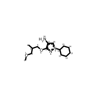 COCC(C)COc1nn(C2CCCCC2)cc1N